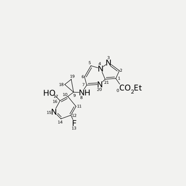 CCOC(=O)c1cnn2ccc(NC3(c4cc(F)cnc4O)CC3)nc12